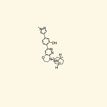 Cn1cc(-c2ccc(-c3cc4c(nn3)N([C@@H]3C[C@H]5CC[C@@H](C3)N5)CCO4)c(O)c2)cn1